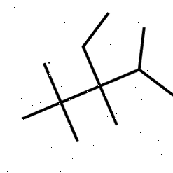 [CH2]C(C)(C)C(C)(CC)C(C)C